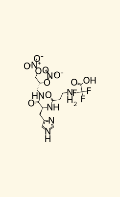 NCCC(=O)N[C@@H](Cc1c[nH]cn1)C(=O)NC[C@H](CO[N+](=O)[O-])O[N+](=O)[O-].O=C(O)C(F)(F)F